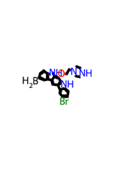 Bc1ccc2[nH]c3c(OCCN4CCNCC4)c4[nH]c5ccc(Br)cc5c4cc3c2c1